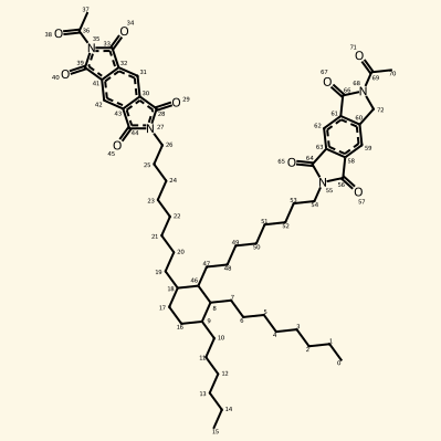 CCCCCCCCC1C(CCCCCC)CCC(CCCCCCCCn2c(=O)c3cc4c(=O)n(C(C)=O)c(=O)c4cc3c2=O)C1CCCCCCCCN1C(=O)c2cc3c(cc2C1=O)C(=O)N(C(C)=O)C3